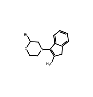 CCC1CN(C2=C(C)Cc3ccccc32)CCO1